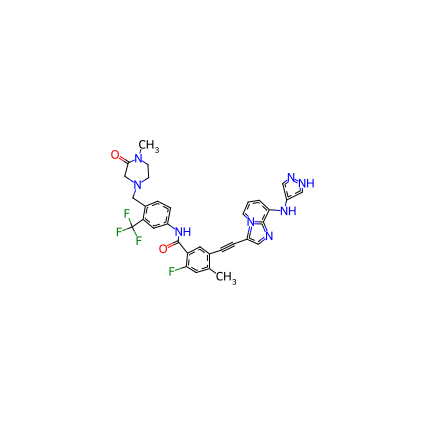 Cc1cc(F)c(C(=O)Nc2ccc(CN3CCN(C)C(=O)C3)c(C(F)(F)F)c2)cc1C#Cc1cnc2c(Nc3cn[nH]c3)cccn12